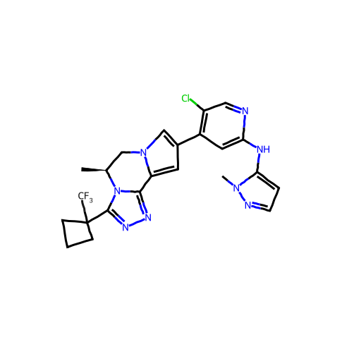 C[C@H]1Cn2cc(-c3cc(Nc4ccnn4C)ncc3Cl)cc2-c2nnc(C3(C(F)(F)F)CCC3)n21